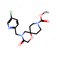 CC(C)(C)OC(=O)N1CCC2(CC1)CN(Cc1ccc(Cl)cn1)C(=O)CO2